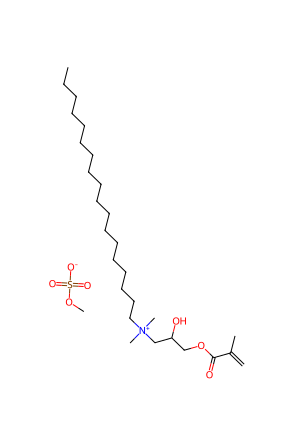 C=C(C)C(=O)OCC(O)C[N+](C)(C)CCCCCCCCCCCCCCCCCC.COS(=O)(=O)[O-]